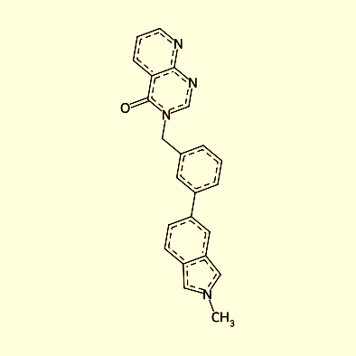 Cn1cc2ccc(-c3cccc(Cn4cnc5ncccc5c4=O)c3)cc2c1